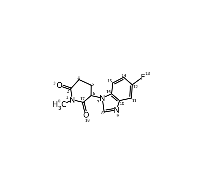 CN1C(=O)CCC(n2cnc3cc(F)ccc32)C1=O